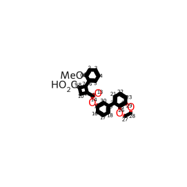 COc1ccccc1C1C(C(=O)O)CC1C(=O)Oc1cccc(-c2cccc3c2OCCO3)c1